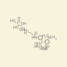 CCCCC1(CCCC)CS(=O)(=O)c2ccc(N(C)C)cc2C(c2cccc(NC(=O)CCCCNCC(O)C(O)C(O)C(O)CO)c2)C1O